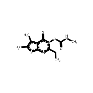 CCc1nc2sc(C)c(C)c2c(=O)n1OC(=O)NC